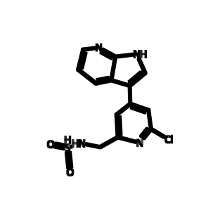 O=[SH](=O)NCc1cc(-c2c[nH]c3ncccc23)cc(Cl)n1